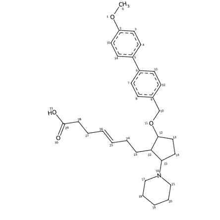 COc1ccc(-c2ccc(COC3CCC(N4CCCCC4)C3CCC=CCCC(=O)O)cc2)cc1